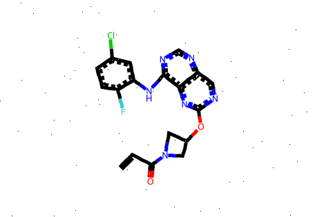 C=CC(=O)N1CC(Oc2ncc3ncnc(Nc4cc(Cl)ccc4F)c3n2)C1